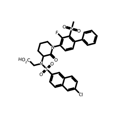 CS(=O)(=O)c1c(-c2ccccc2)ccc(N2CCCC(N(CC(=O)O)S(=O)(=O)c3ccc4cc(Cl)ccc4c3)C2=O)c1F